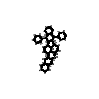 c1ccc(-c2c3ccccc3c(-c3ccccc3)c3c4ccc5c6cc7ccccc7cc6sc6ccc(c23)c4c65)cc1